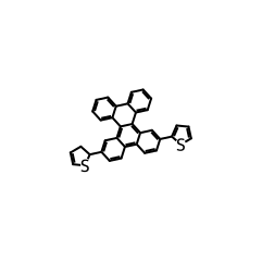 C1=CSC(c2ccc3c4ccc(-c5cccs5)cc4c4c5ccccc5c5ccccc5c4c3c2)C1